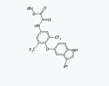 CC(C)c1c[nH]c2ccc(Oc3c(C(F)(F)F)cc(NC(=O)C(=O)OC(C)(C)C)cc3C(F)(F)F)cc12